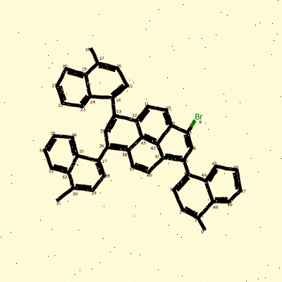 Cc1ccc(-c2cc(Br)c3ccc4c(-c5ccc(C)c6ccccc56)cc(-c5ccc(C)c6ccccc56)c5ccc2c3c45)c2ccccc12